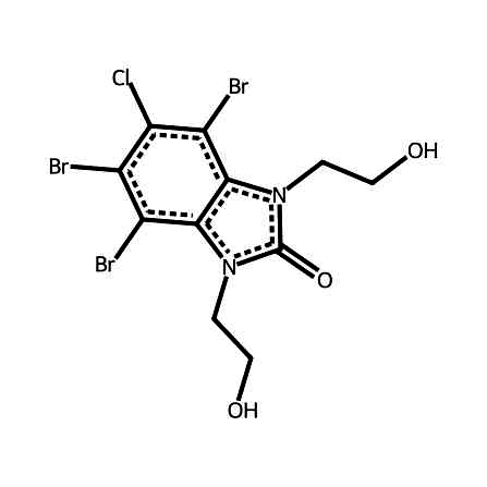 O=c1n(CCO)c2c(Br)c(Cl)c(Br)c(Br)c2n1CCO